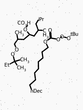 CCC(C)(C)OOCC(C)CC(CC(C)CC(C)C)OC(=O)O.CCCCCCCCCCCCCCCCCCOC(=O)OOOC(C)(C)C